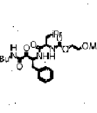 CCCCNC(=O)C(=O)[C@H](Cc1ccccc1)NC(=O)C(CC(C)C)NC(=O)OCCOC